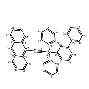 C(#C[Si](c1ccccc1)(c1ccccc1)c1cccc(-c2ccccc2)c1)c1c2ccccc2cc2ccccc12